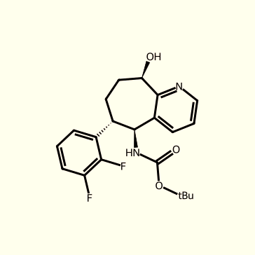 CC(C)(C)OC(=O)N[C@@H]1c2cccnc2[C@H](O)CC[C@H]1c1cccc(F)c1F